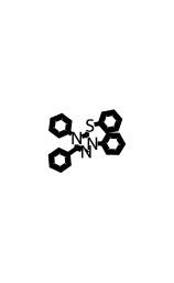 c1ccc(SC2N(c3ccccc3)N=C(c3ccccc3)N2c2ccccc2)cc1